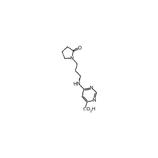 O=C(O)c1cc(NCCCN2CCCC2=O)ncn1